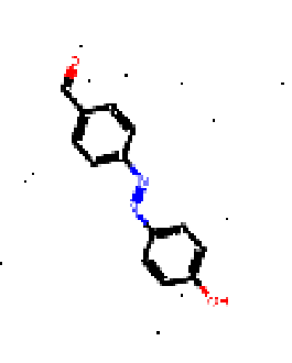 O=Cc1ccc(/N=N/c2ccc(O)cc2)cc1